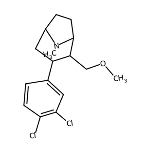 COCC1C(c2ccc(Cl)c(Cl)c2)CC2CCC1N2C